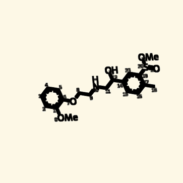 COc1ccccc1OCCNCC(O)c1ccc(C)c(S(=O)OC)c1